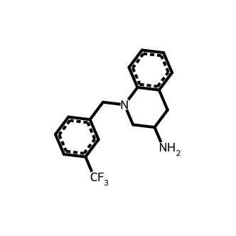 NC1Cc2ccccc2N(Cc2cccc(C(F)(F)F)c2)C1